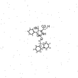 CC(C)(C)C(Sc1ccccc1)[C@@H](CC(=O)O)NC(=O)OCC1c2ccccc2-c2ccccc21